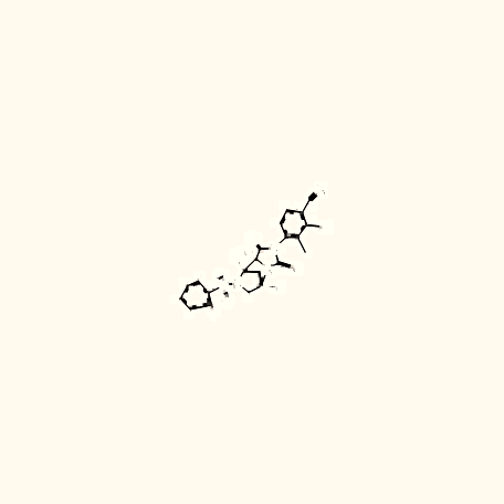 Cc1c(N2C(=O)[C@@H]3[C@@H]4C[C@@H](CN4S(=O)(=O)c4ccccc4F)N3C2=O)ccc(C#N)c1Cl